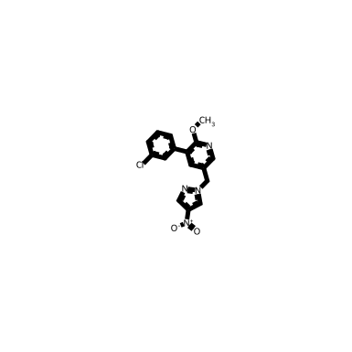 COc1ncc(Cn2cc([N+](=O)[O-])cn2)cc1-c1cccc(Cl)c1